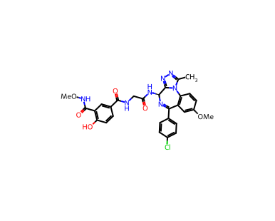 CONC(=O)c1cc(C(=O)NCC(=O)N[C@@H]2N=C(c3ccc(Cl)cc3)c3cc(OC)ccc3-n3c(C)nnc32)ccc1O